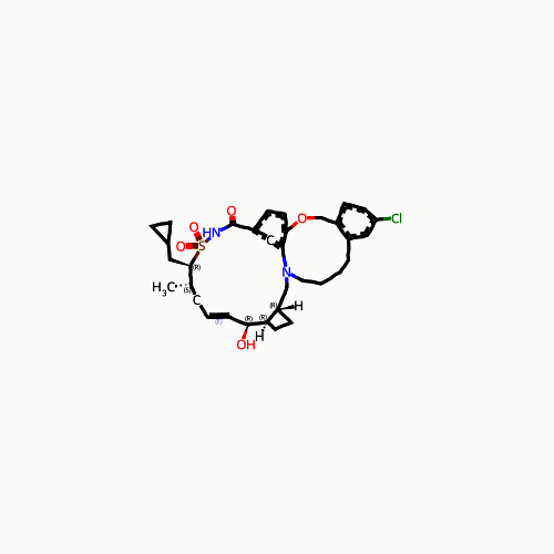 C[C@H]1C/C=C/[C@H](O)[C@@H]2CC[C@H]2CN2CCCCc3cc(Cl)ccc3COc3ccc(cc32)C(=O)NS(=O)(=O)[C@@H]1CC1CC1